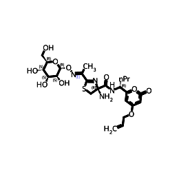 C=CCOc1cc([C@@H](CCC)NC(=O)[C@]2(N)CSC(/C(C)=N/O[C@H]3O[C@H](CO)[C@@H](O)[C@H](O)[C@@H]3O)=N2)oc(=O)c1